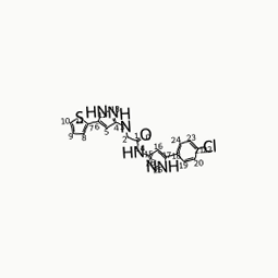 O=C(CNc1cc(-c2cccs2)[nH]n1)Nc1cc(-c2ccc(Cl)cc2)[nH]n1